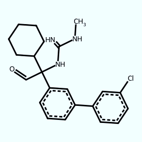 CNC(=N)NC(C=O)(c1cccc(-c2cccc(Cl)c2)c1)C1CCCCC1